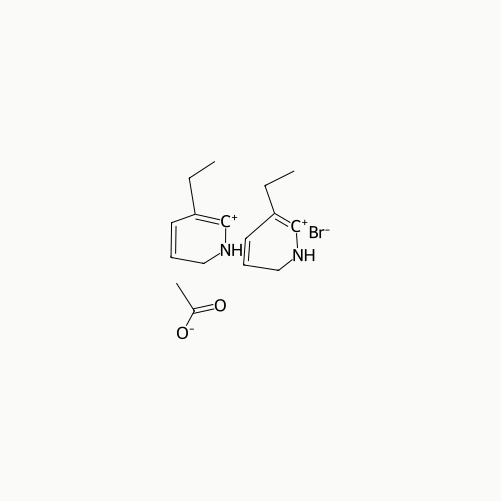 CC(=O)[O-].CCC1=[C+]NCC=C1.CCC1=[C+]NCC=C1.[Br-]